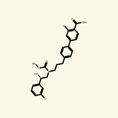 COC(=O)c1ccc(-c2ccc(CCCN(C[C@H](O)c3cccc(Cl)c3)C(=O)OC(C)(C)C)cc2)cc1Cl